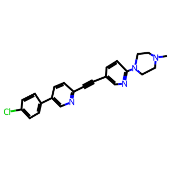 CN1CCN(c2ccc(C#Cc3ccc(-c4ccc(Cl)cc4)cn3)cn2)CC1